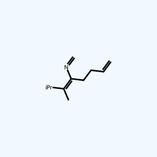 C=CCC/C(N=C)=C(\C)C(C)C